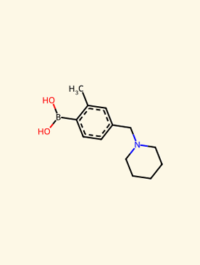 Cc1cc(CN2CCCCC2)ccc1B(O)O